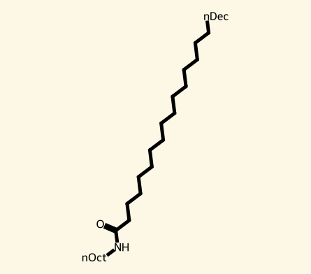 CCCCCCCCCCCCCCCCCCCCCCCCCC(=O)NCCCCCCCC